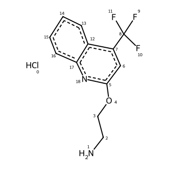 Cl.NCCOc1cc(C(F)(F)F)c2ccccc2n1